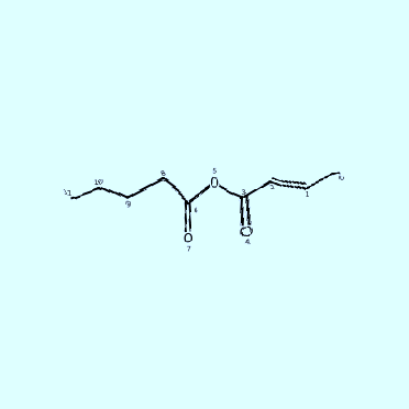 CC=CC(=O)OC(=O)CCCC